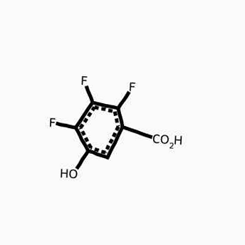 O=C(O)c1cc(O)c(F)c(F)c1F